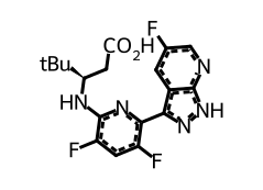 CC(C)(C)[C@@H](CC(=O)O)Nc1nc(-c2n[nH]c3ncc(F)cc23)c(F)cc1F